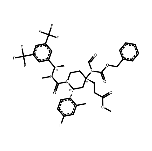 COC(=O)CC[C@]1(N(C=O)C(=O)OCc2ccccc2)CCN(C(=O)N(C)[C@H](C)c2cc(C(F)(F)F)cc(C(F)(F)F)c2)[C@@H](c2ccc(F)cc2C)C1